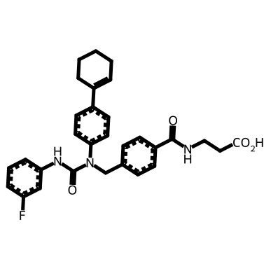 O=C(O)CCNC(=O)c1ccc(CN(C(=O)Nc2cccc(F)c2)c2ccc(C3=CCCCC3)cc2)cc1